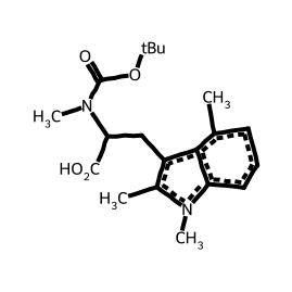 Cc1cccc2c1c(CC(C(=O)O)N(C)C(=O)OC(C)(C)C)c(C)n2C